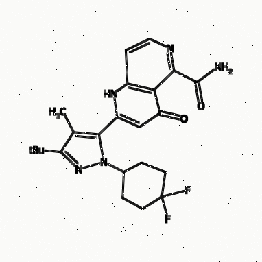 Cc1c(C(C)(C)C)nn(C2CCC(F)(F)CC2)c1-c1cc(=O)c2c(C(N)=O)nccc2[nH]1